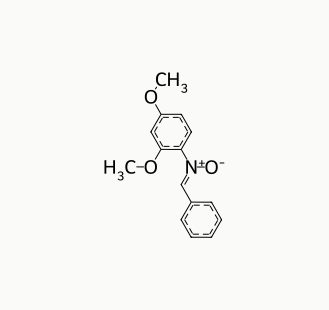 COc1ccc([N+]([O-])=Cc2ccccc2)c(OC)c1